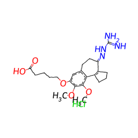 COc1c(OCCCCC(=O)O)cc2c(c1OC)C1=C(CCC1)C(=NNC(=N)N)CC2.Cl